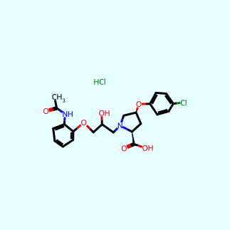 CC(=O)Nc1ccccc1OCC(O)CN1C[C@@H](Oc2ccc(Cl)cc2)C[C@H]1C(=O)O.Cl